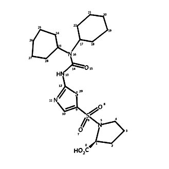 O=C(O)[C@@H]1CCCN1S(=O)(=O)c1cnc(NC(=O)N(C2CCCCC2)C2CCCCC2)s1